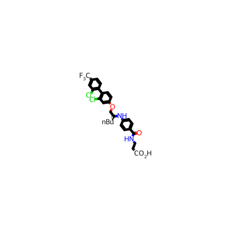 CCCC[C@@H](COc1ccc(-c2ccc(C(F)(F)F)cc2Cl)c(Cl)c1)Nc1ccc(C(=O)NCCC(=O)O)cc1